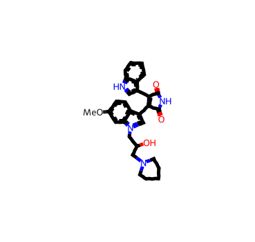 COc1ccc2c(C3=C(c4c[nH]c5ccccc45)C(=O)NC3=O)cn(CC(O)CN3CCCCC3)c2c1